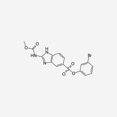 COC(=O)Nc1nc2cc(S(=O)(=O)Oc3cccc(Br)c3)ccc2[nH]1